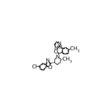 Cc1ccc(C(=O)N2C[C@H](c3nc4cc(Cl)ccc4o3)CC[C@H]2C)c(-n2nccn2)c1